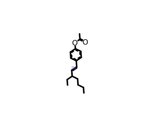 CCCCC(/C=C/c1ccc(OC(C)=O)cc1)CC